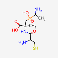 CC(N)P(=O)(O)CC(C)(NC(=O)[C@H](N)CS)C(=O)O